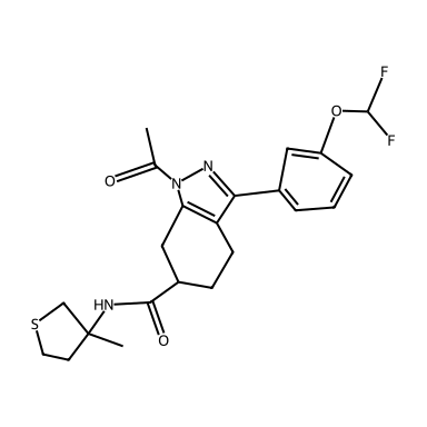 CC(=O)n1nc(-c2cccc(OC(F)F)c2)c2c1CC(C(=O)NC1(C)CCSC1)CC2